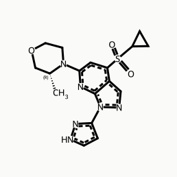 C[C@@H]1COCCN1c1cc(S(=O)(=O)C2CC2)c2cnn(-c3cc[nH]n3)c2n1